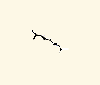 CC(I)/C=C/O/C=C/C(C)I